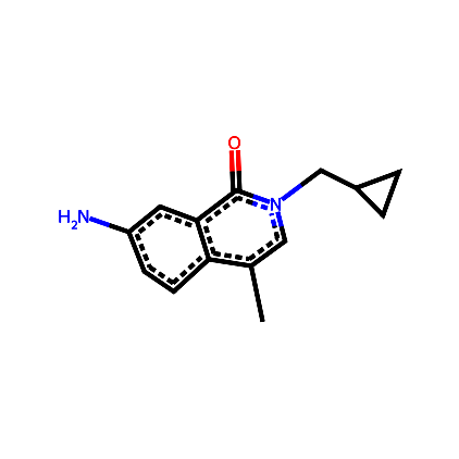 Cc1cn(CC2CC2)c(=O)c2cc(N)ccc12